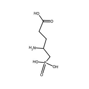 NC(CCC(=O)O)CP(=O)(O)O